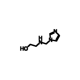 OCCNCn1ccnc1